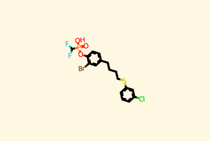 O=P(O)(Oc1ccc(CCCCSc2cccc(Cl)c2)cc1Br)C(F)F